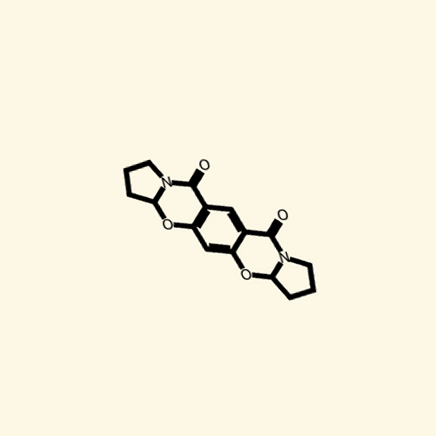 O=C1c2cc3c(cc2OC2CCCN12)OC1CCCN1C3=O